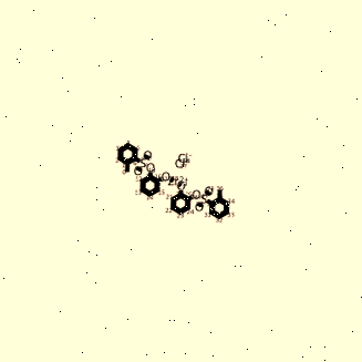 Cc1ccccc1S(=O)(=O)Oc1ccccc1[O][Zr+2][O]c1ccccc1OS(=O)(=O)c1ccccc1C.[Cl-].[Cl-]